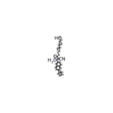 C/C(=C(/C#N)C(=O)CCCOCCOCCO)c1ccc2cc(N3CCCC3)ccc2c1